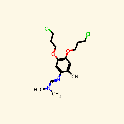 CN(C)C=Nc1cc(OCCCCl)c(OCCCCl)cc1C#N